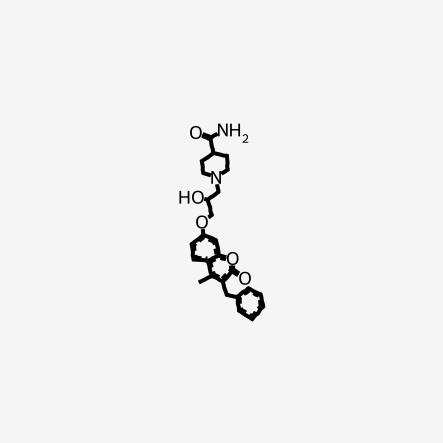 Cc1c(Cc2ccccc2)c(=O)oc2cc(OCC(O)CN3CCC(C(N)=O)CC3)ccc12